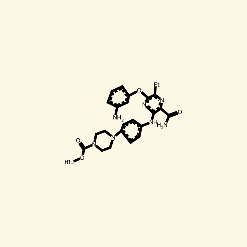 CCc1nc(C(N)=O)c(Nc2ccc(N3CCN(C(=O)OC(C)(C)C)CC3)cc2)nc1Oc1cccc(N)c1